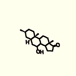 C[C@H]1CC[C@]2(C)C3CC[C@]4(C)C(=O)CCC4C3C(O)C[C@H]2C1